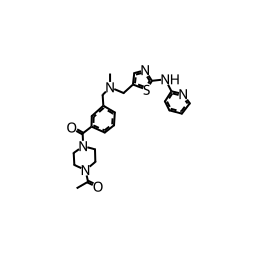 CC(=O)N1CCN(C(=O)c2cccc(CN(C)Cc3cnc(Nc4ccccn4)s3)c2)CC1